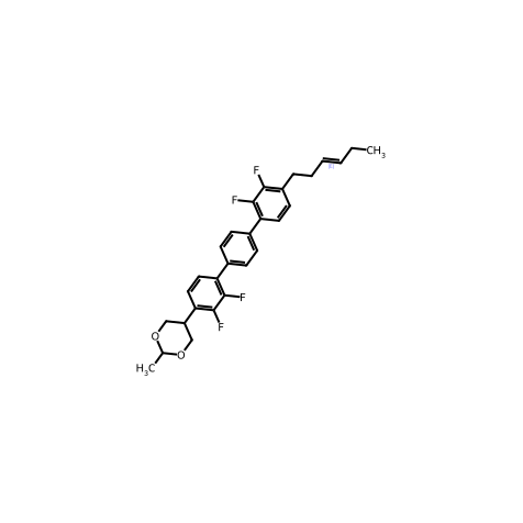 CC/C=C/CCc1ccc(-c2ccc(-c3ccc(C4COC(C)OC4)c(F)c3F)cc2)c(F)c1F